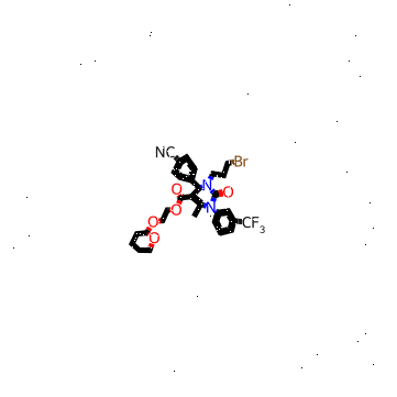 CC1=C(C(=O)OCCOC2CCCCO2)C(c2ccc(C#N)cc2)N(CCCBr)C(=O)N1c1cccc(C(F)(F)F)c1